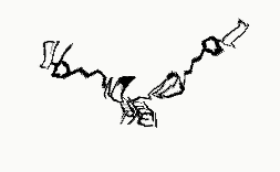 Cl.Cl.Cl.Cl.Clc1ccc(CCCCN2CCN(CCCN3CCN(CCCCc4ccc(Cl)cc4)CC3)CC2)cc1